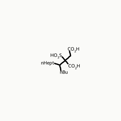 CCCCCCCC(CCCC)C(CC(=O)O)(C(=O)O)S(=O)(=O)O